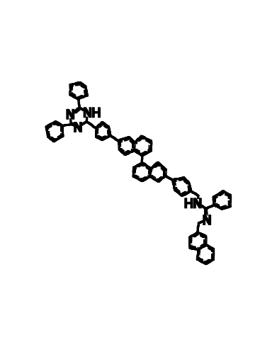 c1ccc(C2=NC(c3ccc(-c4ccc5c(-c6cccc7cc(-c8ccc(CN/C(=N\Cc9ccc%10ccccc%10c9)c9ccccc9)cc8)ccc67)cccc5c4)cc3)NC(c3ccccc3)=N2)cc1